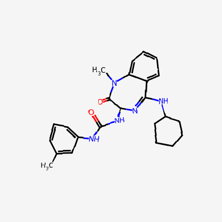 Cc1cccc(NC(=O)N[C@@H]2N=C(NC3CCCCC3)c3ccccc3N(C)C2=O)c1